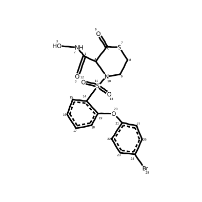 O=C(NO)C1C(=O)SCCN1S(=O)(=O)c1ccccc1Oc1ccc(Br)cc1